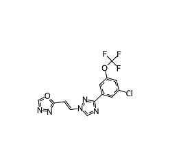 FC(F)(F)Oc1cc(Cl)cc(-c2ncn(C=Cc3nnco3)n2)c1